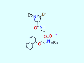 CCCCN(CCOc1cccc2ccccc12)C(=O)OCCNC(=O)c1cc(Br)c[n+](CC)c1.[I-]